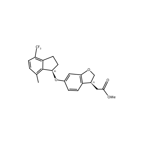 COC(=O)C[C@@H]1COc2cc(O[C@@H]3CCc4c(C(F)(F)F)ccc(C)c43)ccc21